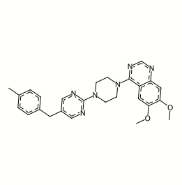 COc1cc2ncnc(N3CCN(c4ncc(Cc5ccc(C)cc5)cn4)CC3)c2cc1OC